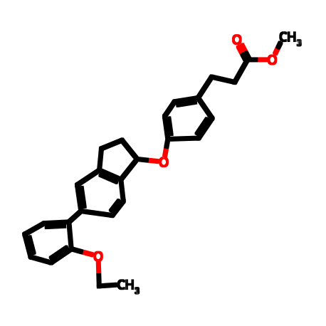 CCOc1ccccc1-c1ccc2c(c1)CCC2Oc1ccc(CCC(=O)OC)cc1